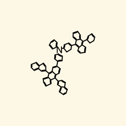 C1=CCCC(c2c3ccccc3c(C3=CC=C(N(c4ccccc4)c4ccc(-c5ccc6c(-c7ccc8ccccc8c7)c7ccccc7c(-c7ccc8ccccc8c7)c6c5)cc4)CC3)c3ccccc23)=C1